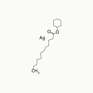 CCCCCCCCCCCC(=O)OC1CCCCC1.[Ag]